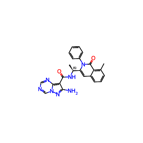 Cc1cccc2cc([C@H](C)NC(=O)c3c(N)nn4cncnc34)n(-c3ccccc3)c(=O)c12